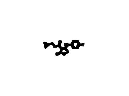 O=C1COC(Nc2ccc(F)cc2)=C1C(=O)OCC1CC1